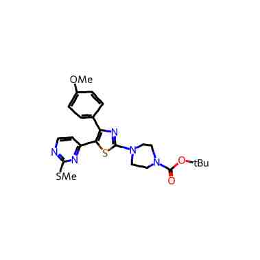 COc1ccc(-c2nc(N3CCN(C(=O)OC(C)(C)C)CC3)sc2-c2ccnc(SC)n2)cc1